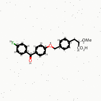 CO[C@@H](Cc1ccc(COc2ccc(C(=O)c3ccc(F)cc3)cc2)cc1)C(=O)O